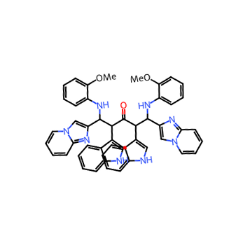 COc1ccccc1NC(c1cn2ccccc2n1)C(C(=O)C(c1c[nH]c2ccccc12)C(Nc1ccccc1OC)c1cn2ccccc2n1)c1c[nH]c2ccccc12